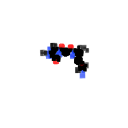 CCc1nc2c(cnn2CC)c(NC2CCOCC2)c1CNC(=O)c1cccc(C(=O)NCc2cc(-c3cccc(CN4C[C@@H]5C[C@H]4CN5)c3)ccc2C)c1